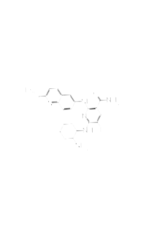 COc1ccc2cc(Nc3nc(NC4CCCCC4N)c(F)cc3C(N)=O)ccc2n1